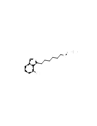 O=[C]OCCCCCCc1occ2cccc(Cl)c12